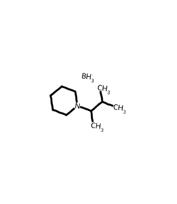 B.CC(C)C(C)N1CCCCC1